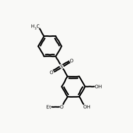 CCOc1cc(S(=O)(=O)c2ccc(C)cc2)cc(O)c1O